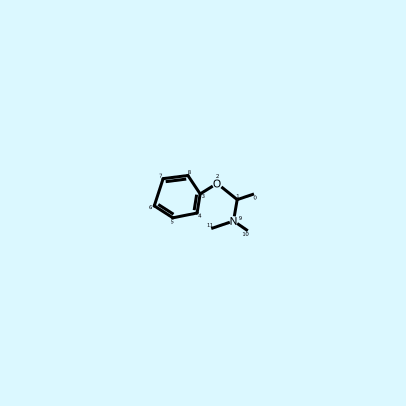 CC(Oc1ccccc1)N(C)C